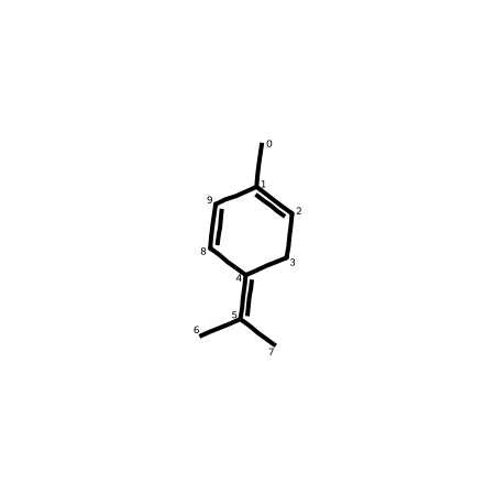 CC1=CCC(=C(C)C)C=C1